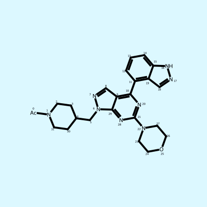 CC(=O)N1CCC(Cn2ncc3c(-c4cccc5[nH]ncc45)nc(N4CCOCC4)nc32)CC1